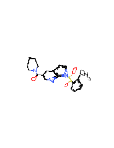 Cc1ccccc1S(=O)(=O)n1ccc2cc(C(=O)N3CCCCC3)cnc21